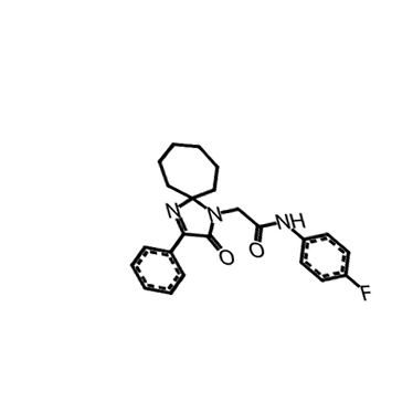 O=C(CN1C(=O)C(c2ccccc2)=NC12CCCCCC2)Nc1ccc(F)cc1